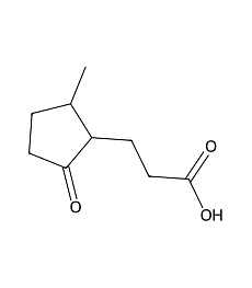 CC1CCC(=O)C1CCC(=O)O